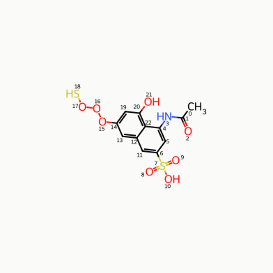 CC(=O)Nc1cc(S(=O)(=O)O)cc2cc(OOOS)cc(O)c12